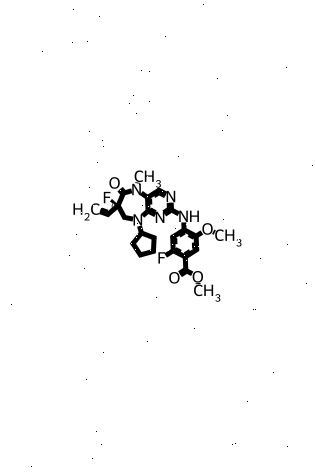 C=C[C@@]1(F)CN(C2CCCC2)c2nc(Nc3cc(F)c(C(=O)OC)cc3OC)ncc2N(C)C1=O